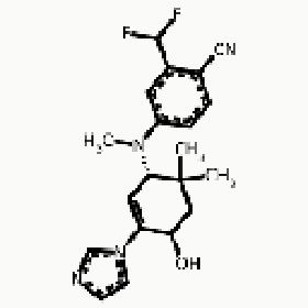 CN(c1ccc(C#N)c(C(F)F)c1)[C@H]1C=C(n2ccnc2)[C@H](O)CC1(C)C